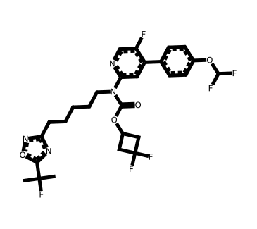 CC(C)(F)c1nc(CCCCCN(C(=O)OC2CC(F)(F)C2)c2cc(-c3ccc(OC(F)F)cc3)c(F)cn2)no1